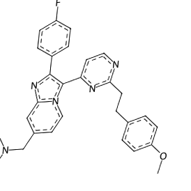 COc1ccc(CCc2nccc(-c3c(-c4ccc(F)cc4)nc4cc(CN(C)C)ccn34)n2)cc1